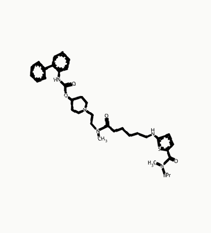 CCCN(C)C(=O)c1ccc(NCCCCCC(=O)N(C)CCN2CCC(OC(=O)Nc3ccccc3-c3ccccc3)CC2)s1